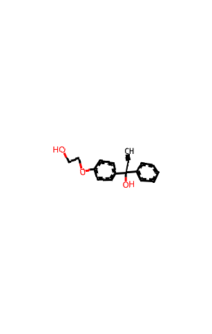 C#CC(O)(c1ccccc1)c1ccc(OCCO)cc1